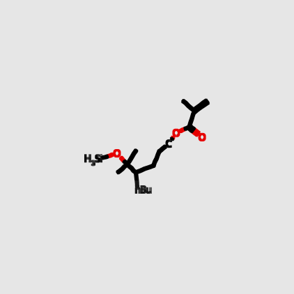 C=C(C)C(=O)OCCCC(CCCC)C(C)(C)O[SiH3]